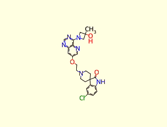 CC1(O)CN(c2ncnc3cc(OCCN4CCC5(CC4)C(=O)Nc4ccc(Cl)cc45)cnc23)C1